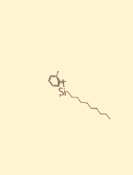 CCCCCCCCCC[SiH](C)c1cccc(C)c1C